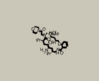 COCCCCOc1ccccc1C(=O)NC[C@@H](C[C@H](N)[C@@H](O)C[C@H](C(=O)N(C)CC(=O)N1CCOCC1)C(C)C)C(C)C.Cl